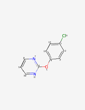 Clc1ccc(Oc2n[c]ccn2)cc1